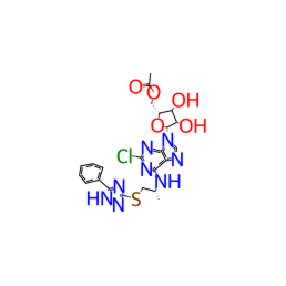 CC(=O)OC[C@H]1O[C@@H](n2cnc3c(N[C@H](C)CSc4n[nH]c(-c5ccccc5)n4)nc(Cl)nc32)C(O)C1O